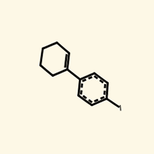 Ic1ccc(C2=CCCCC2)cc1